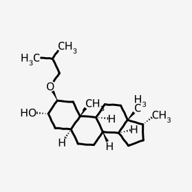 CC(C)CO[C@H]1C[C@@]2(C)[C@@H](CC[C@@H]3[C@@H]2CC[C@]2(C)[C@H](C)CC[C@@H]32)C[C@@H]1O